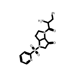 CC(C)CC(N)C(=O)N1CCC2C1C(=O)CN2S(=O)(=O)c1ccccn1